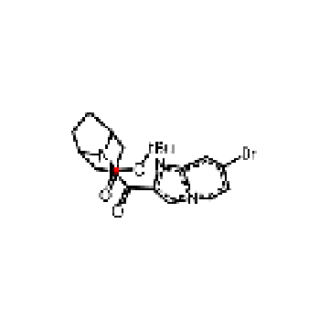 CC(C)(C)OC(=O)N1C2CCC1CN(C(=O)c1cn3ccc(Br)cc3n1)C2